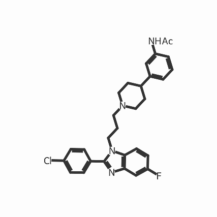 CC(=O)Nc1cccc(C2CCN(CCCn3c(-c4ccc(Cl)cc4)nc4cc(F)ccc43)CC2)c1